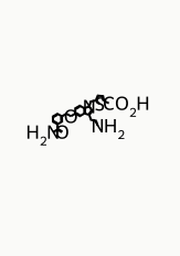 NCCc1cn(Cc2ccc(C(=O)O)s2)c2ccc(OCc3cccc(C(N)=O)c3)cc12